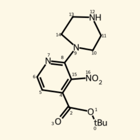 CC(C)(C)OC(=O)c1ccnc(N2CCNCC2)c1[N+](=O)[O-]